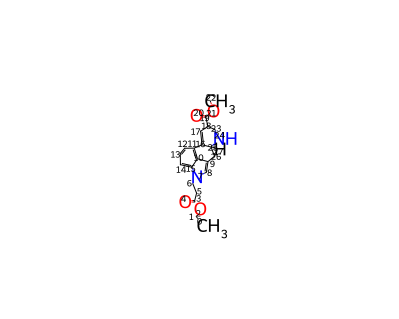 CCOC(=O)CCn1cc2c3c(cccc31)C1=CC(C(=O)OC)CN[C@@H]1C2